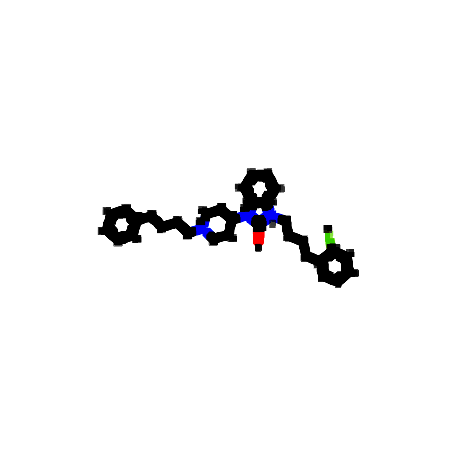 O=c1n(CCCCc2ccccc2F)c2ccccc2n1C1CCN(CCCCc2ccccc2)CC1